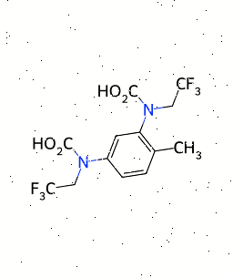 Cc1ccc(N(CC(F)(F)F)C(=O)O)cc1N(CC(F)(F)F)C(=O)O